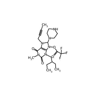 CC#CCN1c2c(n(CC(CC)CC)c(=O)n(C)c2=O)N(OC(=O)C(F)(F)F)C1N1CCNCC1